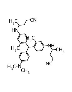 Cc1cc(NC(C)CCC#N)ccc1C(c1ccc(N(C)C)cc1)c1ccc(NC(C)CCC#N)cc1C